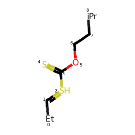 CCC=[SH]C(=S)OCCC(C)C